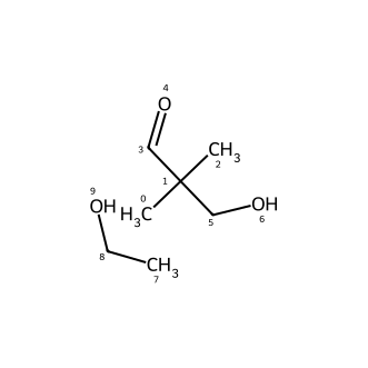 CC(C)(C=O)CO.CCO